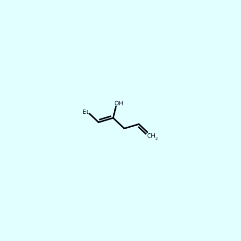 C=CC/C(O)=C/CC